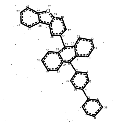 c1ccc(-c2ccc(-c3c4ccccc4c(-c4ccc5oc6ccccc6c5c4)c4ccccc34)cc2)cc1